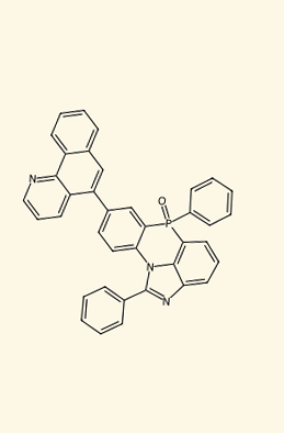 O=P1(c2ccccc2)c2cc(-c3cc4ccccc4c4ncccc34)ccc2-n2c(-c3ccccc3)nc3cccc1c32